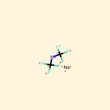 FC(F)(F)[N]C(F)(F)F.[Na+]